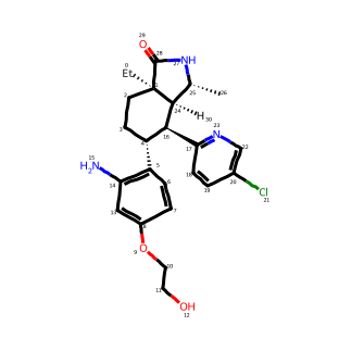 CC[C@@]12CC[C@@H](c3ccc(OCCO)cc3N)[C@H](c3ccc(Cl)cn3)[C@@H]1[C@@H](C)NC2=O